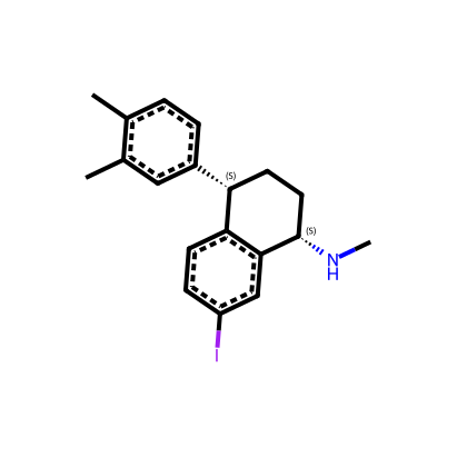 CN[C@H]1CC[C@@H](c2ccc(C)c(C)c2)c2ccc(I)cc21